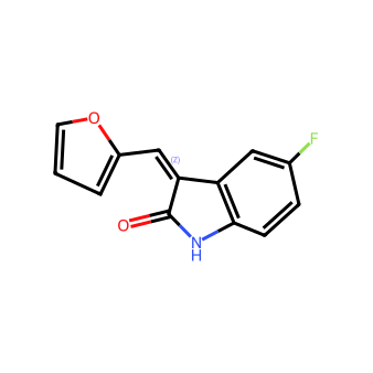 O=C1Nc2ccc(F)cc2/C1=C/c1ccco1